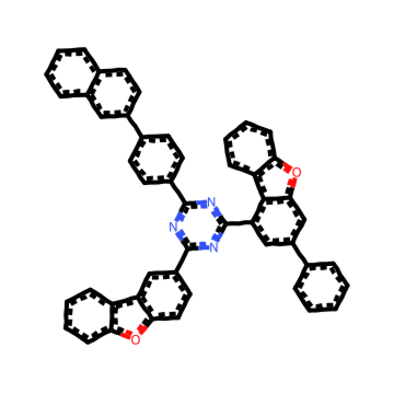 c1ccc(-c2cc(-c3nc(-c4ccc(-c5ccc6ccccc6c5)cc4)nc(-c4ccc5oc6ccccc6c5c4)n3)c3c(c2)oc2ccccc23)cc1